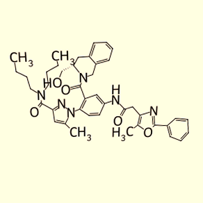 CCCCN(CCCC)C(=O)c1cc(C)n(-c2ccc(NC(=O)Cc3nc(-c4ccccc4)oc3C)cc2C(=O)N2Cc3ccccc3C[C@H]2CO)n1